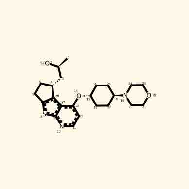 C[C@H](O)C[C@H]1CCc2sc3nccc(O[C@H]4CC[C@H](N5CCOCC5)CC4)c3c21